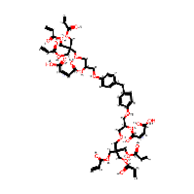 C=CC(=O)OCC(COCC(COc1ccc(Cc2ccc(OCC(COCC(COC(=O)C=C)(COC(=O)C=C)COC(=O)C=C)OC(=O)/C=C\C(=O)O)cc2)cc1)OC(=O)/C=C\C(=O)O)(COC(=O)C=C)COC(=O)C=C